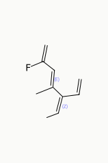 C=CC(=C/C)/C(C)=C/C(=C)F